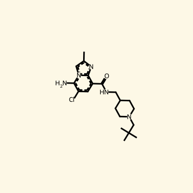 Cc1cn2c(N)c(Cl)cc(C(=O)NCC3CCN(CC(C)(C)C)CC3)c2n1